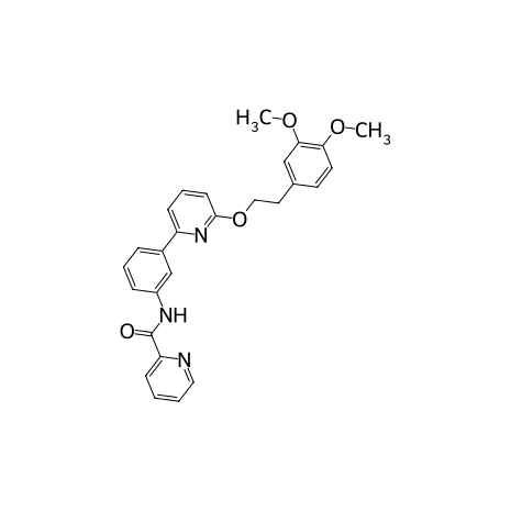 COc1ccc(CCOc2cccc(-c3cccc(NC(=O)c4ccccn4)c3)n2)cc1OC